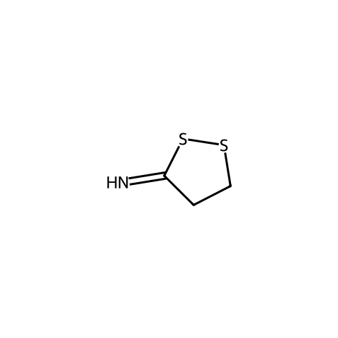 N=C1CCSS1